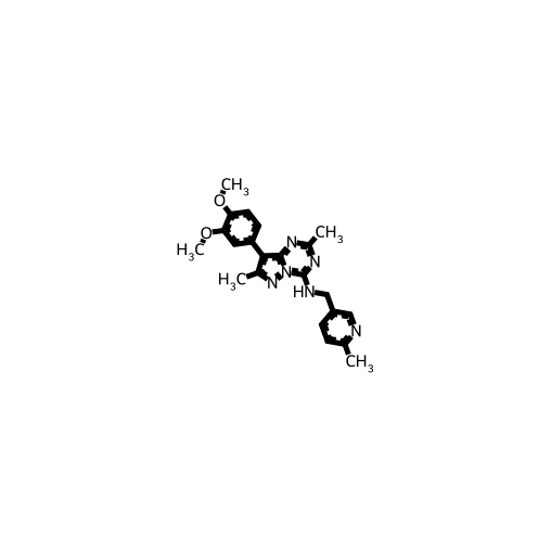 COc1ccc(-c2c(C)nn3c(NCc4ccc(C)nc4)nc(C)nc23)cc1OC